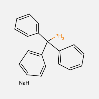 PC(c1ccccc1)(c1ccccc1)c1ccccc1.[NaH]